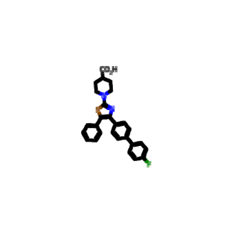 O=C(O)C1CCN(c2nc(-c3ccc(-c4ccc(F)cc4)cc3)c(-c3ccccc3)s2)CC1